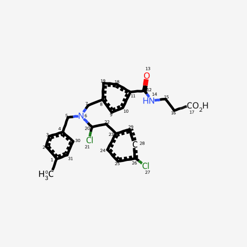 Cc1ccc(CN(Cc2ccc(C(=O)NCCC(=O)O)cc2)C(Cl)Cc2ccc(Cl)cc2)cc1